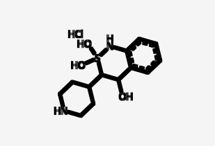 Cl.OC1c2ccccc2NS(O)(O)C1C1CCNCC1